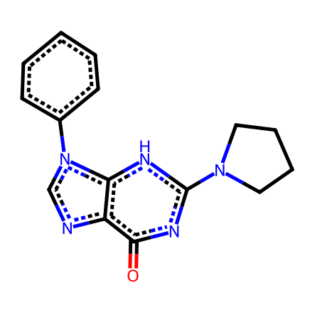 O=c1nc(N2CCCC2)[nH]c2c1ncn2-c1ccccc1